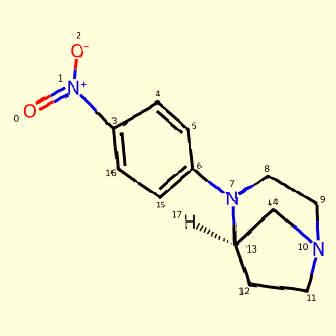 O=[N+]([O-])c1ccc(N2CCN3CC[C@@H]2C3)cc1